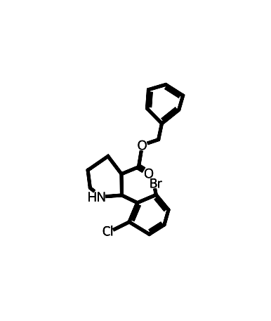 O=C(OCc1ccccc1)C1CCCNC1c1c(Cl)cccc1Br